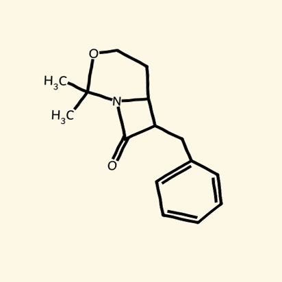 CC1(C)OCCC2C(Cc3ccccc3)C(=O)N21